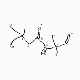 C=CC(C)(C)NC(=O)CC(C)(C)C